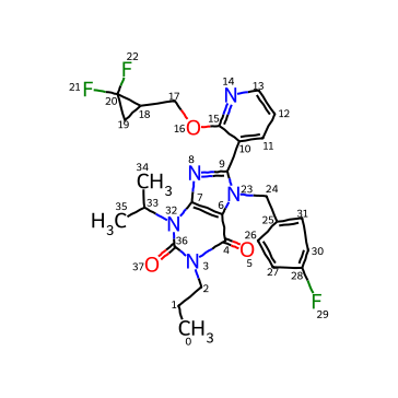 CCCn1c(=O)c2c(nc(-c3cccnc3OCC3CC3(F)F)n2Cc2ccc(F)cc2)n(C(C)C)c1=O